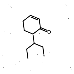 CCC(CC)C1CCC=CC1=O